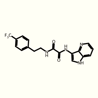 O=C(NCCc1ccc(C(F)(F)F)cc1)C(=O)Nc1c[nH]c2cccnc12